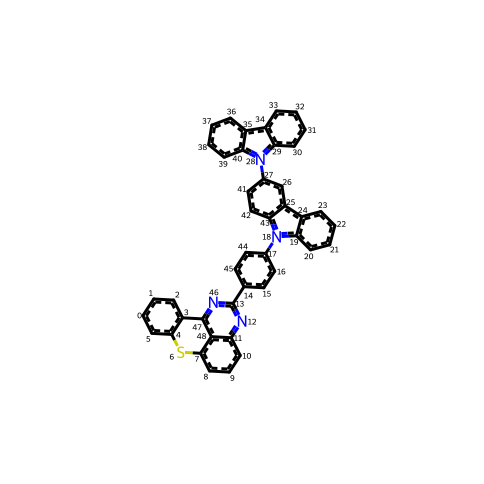 c1ccc2c(c1)Sc1cccc3nc(-c4ccc(-n5c6ccccc6c6cc(-n7c8ccccc8c8ccccc87)ccc65)cc4)nc-2c13